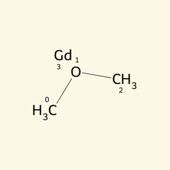 COC.[Gd]